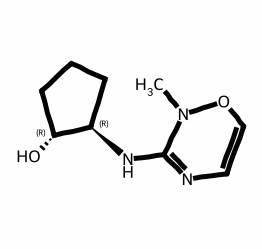 CN1OC=CN=C1N[C@@H]1CCC[C@H]1O